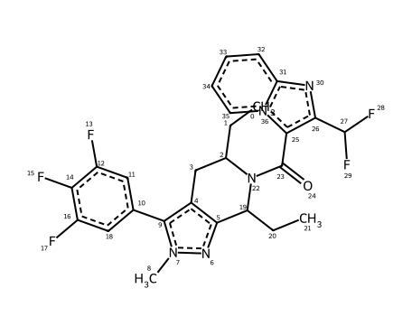 CCC1Cc2c(nn(C)c2-c2cc(F)c(F)c(F)c2)C(CC)N1C(=O)c1c(C(F)F)nc2ccccn12